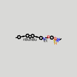 C/C=N/N(C)[PH](=S)Oc1ccc(OCCN(CC)c2ccc(C#Cc3ccc4c(c3)C(CCCC)(CCCC)c3cc(C#Cc5ccc(C)cc5)ccc3-4)cc2)cc1